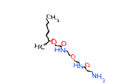 C#CC(CCCCCC)OCC(=O)NCCOCCNC(=O)CCN